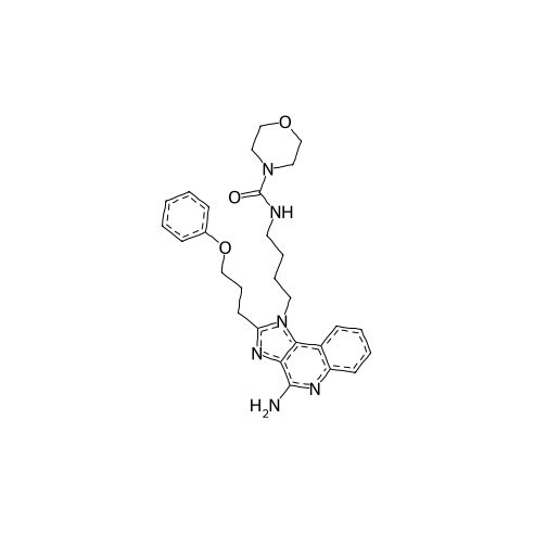 Nc1nc2ccccc2c2c1nc(CCCOc1ccccc1)n2CCCCNC(=O)N1CCOCC1